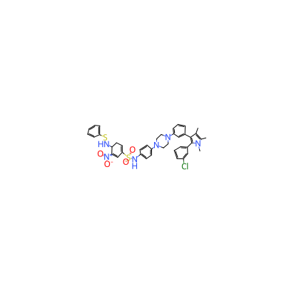 Cc1c(-c2cccc(N3CCN(c4ccc(NS(=O)(=O)C5=CCC(NSc6ccccc6)C([N+](=O)[O-])=C5)cc4)CC3)c2)c(-c2cccc(Cl)c2)n(C)c1C